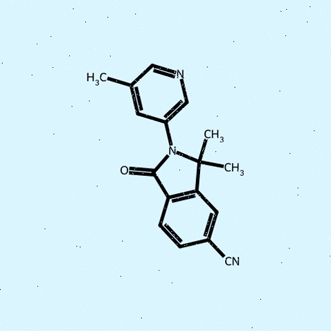 Cc1cncc(N2C(=O)c3ccc(C#N)cc3C2(C)C)c1